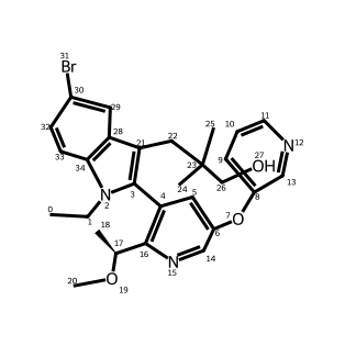 CCn1c(-c2cc(Oc3cccnc3)cnc2[C@H](C)OC)c(CC(C)(C)CO)c2cc(Br)ccc21